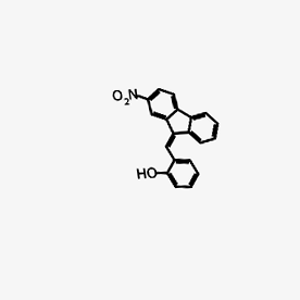 O=[N+]([O-])c1ccc2c(c1)/C(=C/c1ccccc1O)c1ccccc1-2